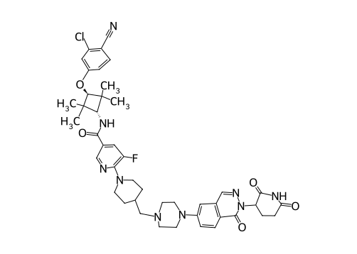 CC1(C)[C@H](NC(=O)c2cnc(N3CCC(CN4CCN(c5ccc6c(=O)n(C7CCC(=O)NC7=O)ncc6c5)CC4)CC3)c(F)c2)C(C)(C)[C@H]1Oc1ccc(C#N)c(Cl)c1